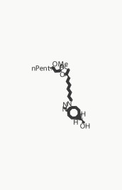 CCCCC[C@H](CC(=O)O[C@H](CCCCCCCn1nnc2c1CC[C@H]1[C@@H](CO)[C@H]1CC2)CC(C)=O)OC